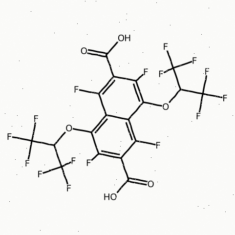 O=C(O)c1c(F)c(OC(C(F)(F)F)C(F)(F)F)c2c(F)c(C(=O)O)c(F)c(OC(C(F)(F)F)C(F)(F)F)c2c1F